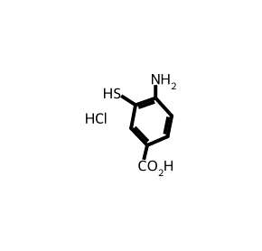 Cl.Nc1ccc(C(=O)O)cc1S